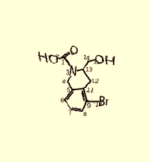 O=C(O)N1Cc2cccc(Br)c2C[C@@H]1CO